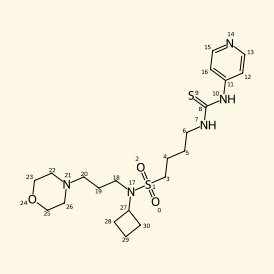 O=S(=O)(CCCCNC(=S)Nc1ccncc1)N(CCCN1CCOCC1)C1CCC1